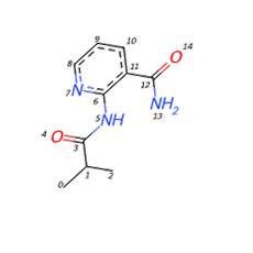 CC(C)C(=O)Nc1ncccc1C(N)=O